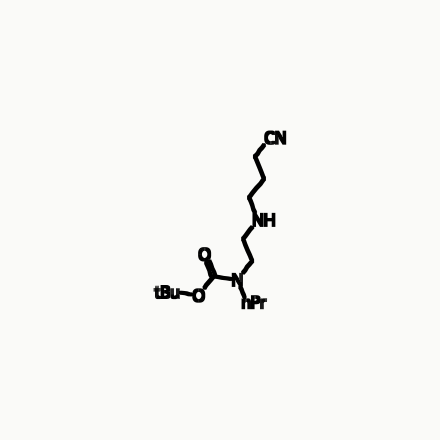 CCCN(CCNCCCC#N)C(=O)OC(C)(C)C